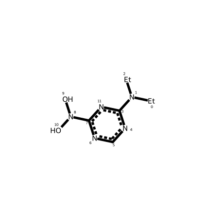 CCN(CC)c1ncnc(N(O)O)n1